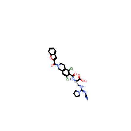 N#C/N=C(/NC[C@H](NC(=O)c1c(Cl)cc2c(c1Cl)CCN(C(=O)C1=CC3=CC=CCC3O1)C2)C(=O)O)N1CCCC1